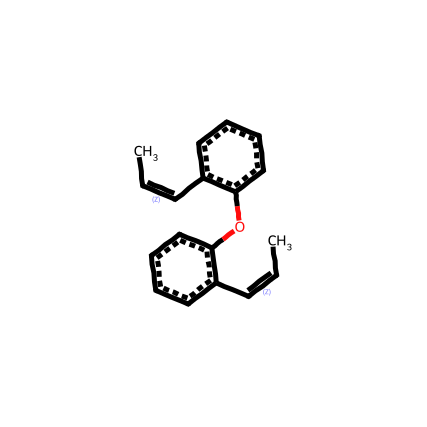 C/C=C\c1ccccc1Oc1ccccc1/C=C\C